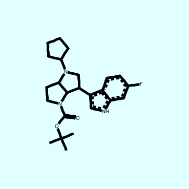 CC(C)(C)OC(=O)N1CCC2C1C(c1c[nH]c3cc(F)ccc13)CN2C1CCCC1